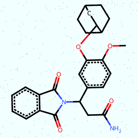 COc1ccc(C(CC(N)=O)N2C(=O)c3ccccc3C2=O)cc1OC1CC2CCC1CC2